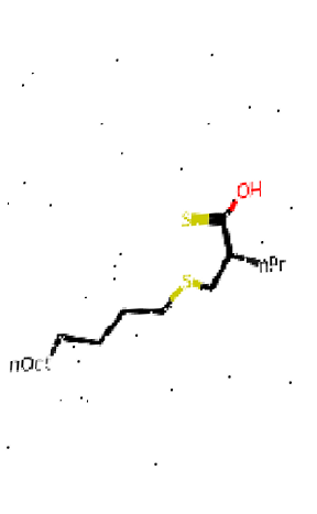 CCCCCCCCCCCCSCC(CCC)C(O)=S